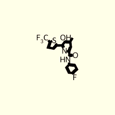 Cc1cc(C(=O)Nc2ccc(F)cc2)nc(-c2ccc(C(F)(F)F)s2)c1O